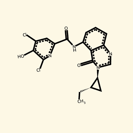 CC[C@H]1C[C@@H]1n1cnc2cccc(NC(=O)c3cc(Cl)c(O)c(Cl)n3)c2c1=O